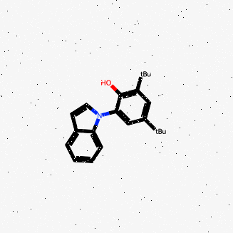 CC(C)(C)c1cc(-n2ccc3ccccc32)c(O)c(C(C)(C)C)c1